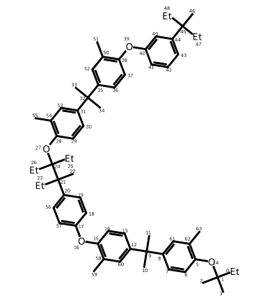 CCC(C)(C)Oc1ccc(C(C)(C)c2ccc(Oc3ccc(C(C)(CC)C(CC)(CC)Oc4ccc(C(C)(C)c5ccc(Oc6cccc(C(C)(CC)CC)c6)c(C)c5)cc4C)cc3)c(C)c2)cc1C